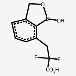 O=C(O)C(F)(F)Cc1cccc2c1B(O)OC2